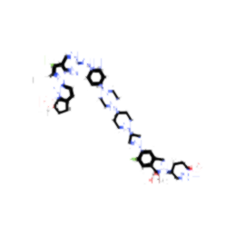 CC[C@@]1(O)CCc2ccc(-n3c(C(C)C)c(F)c4cnc(Nc5ccc(N6CCN(C7CCN(C8CN(c9cc%10c(cc9F)C(=O)N(C9(C=O)CCC(=O)NC9)C%10)C8)CC7)CC6)cc5)nc43)nc21